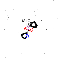 COc1cccc2c1[P@@](=O)(C(C)(C)C)[C@H](c1ccccn1)O2